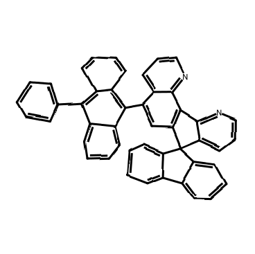 c1ccc(-c2c3ccccc3c(-c3cc4c(c5ncccc35)-c3ncccc3C43c4ccccc4-c4ccccc43)c3ccccc23)cc1